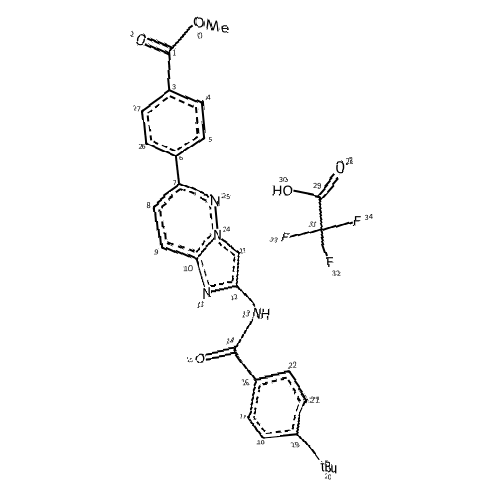 COC(=O)c1ccc(-c2ccc3nc(NC(=O)c4ccc(C(C)(C)C)cc4)cn3n2)cc1.O=C(O)C(F)(F)F